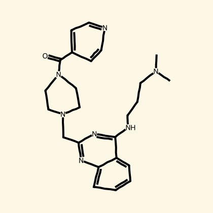 CN(C)CCCNc1nc(CN2CCN(C(=O)c3ccncc3)CC2)nc2ccccc12